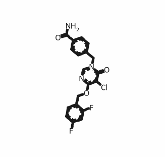 NC(=O)c1ccc(Cn2cnc(OCc3ccc(F)cc3F)c(Cl)c2=O)cc1